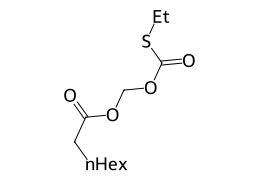 CCCCCCCC(=O)OCOC(=O)SCC